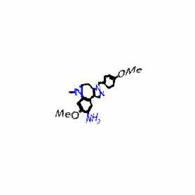 COc1ccc(Cn2ncc3c2CCN(C)c2cc(OC)c(N)cc2-3)cc1